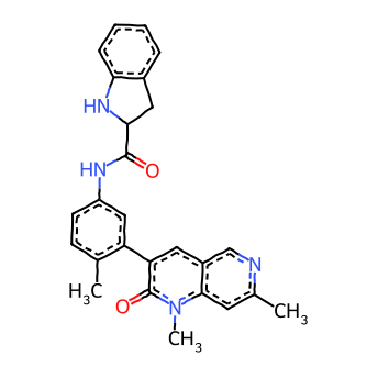 Cc1cc2c(cn1)cc(-c1cc(NC(=O)C3Cc4ccccc4N3)ccc1C)c(=O)n2C